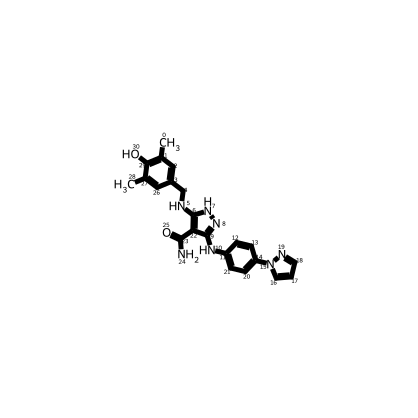 Cc1cc(CNc2[nH]nc(Nc3ccc(-n4cccn4)cc3)c2C(N)=O)cc(C)c1O